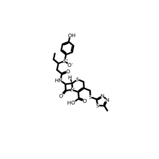 CCC(CC(=O)NC1C(=O)N2C(C(=O)O)=C(CSc3nnc(C)s3)CS[C@@H]12)[S+]([O-])c1ccc(O)cc1